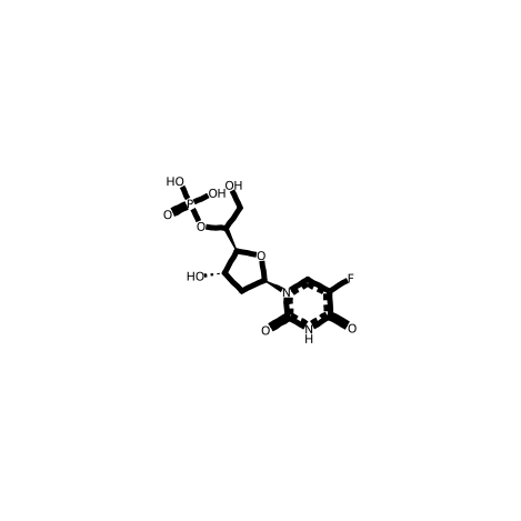 O=c1[nH]c(=O)n([C@H]2C[C@H](O)[C@@H](C(CO)OP(=O)(O)O)O2)cc1F